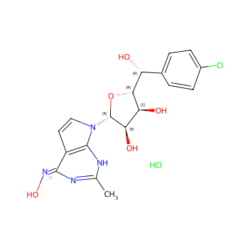 Cc1n/c(=N\O)c2ccn([C@@H]3O[C@H]([C@H](O)c4ccc(Cl)cc4)[C@@H](O)[C@H]3O)c2[nH]1.Cl